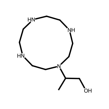 CC(CO)N1CCNCCNCCNCC1